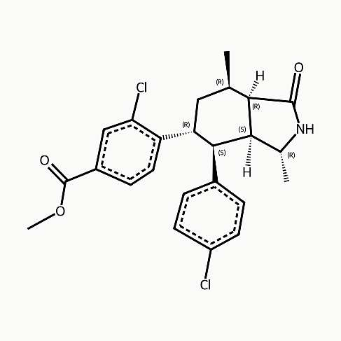 COC(=O)c1ccc([C@@H]2C[C@@H](C)[C@H]3C(=O)N[C@H](C)[C@H]3[C@H]2c2ccc(Cl)cc2)c(Cl)c1